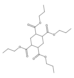 CCCOC(=O)C1CC(C(=O)OCCC)C(C(=O)OCCC)CC1C(=O)OCCC